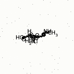 CCCC(=N)c1ccc(CCCC(=O)Oc2ccc(S(=O)(=O)NCCCCC(=O)O)cc2CN)cc1.Cl